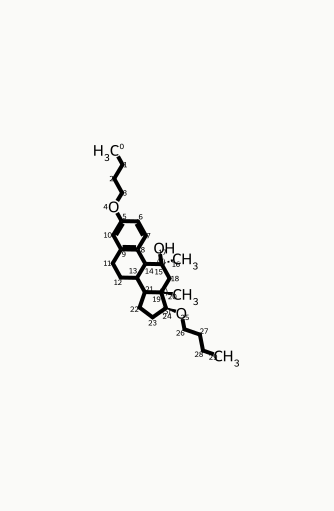 CCCCOc1ccc2c(c1)CCC1C2[C@@](C)(O)C[C@@]2(C)C1CC[C@@H]2OCCCC